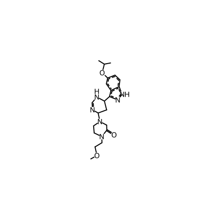 COCCN1CCN(C2CC(c3n[nH]c4ccc(OC(C)C)cc34)NC=N2)CC1=O